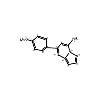 COc1ccc(-c2cc(N)n3nccc3n2)cc1